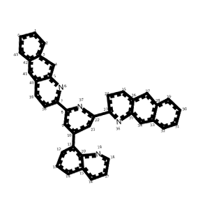 c1ccc2cc3nc(-c4cc(-c5cccc6cccnc56)cc(-c5ccc6cc7ccccc7cc6n5)n4)ccc3cc2c1